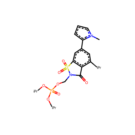 CC(C)OP(=O)(OCN1C(=O)c2c(C(C)C)cc(-c3cccn3C)cc2S1(=O)=O)OC(C)C